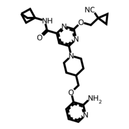 N#CC1(COc2nc(C(=O)NC34CC(C3)C4)cc(N3CCC(COc4cccnc4N)CC3)n2)CC1